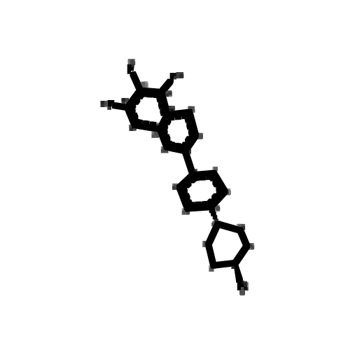 CC[C@H]1CC[C@H](c2ccc(-c3ccc4c(F)c(F)c(F)cc4c3)cc2)CC1